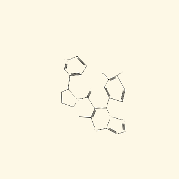 CC1=C(C(=O)N2CCCC2c2cccnc2)C(c2ccc(Cl)c(Cl)c2)n2nccc2N1